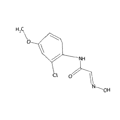 COc1ccc(NC(=O)/C=N/O)c(Cl)c1